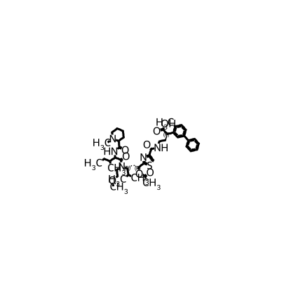 CCC(C)C(NC(=O)C1CCCCN1C)C(=O)N(CCOC)[C@H](C[C@@H](OC(C)=O)c1nc(C(=O)NCC[C@@H](C(=O)O)c2cc(-c3ccccc3)ccc2C)cs1)C(C)C